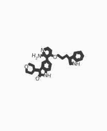 Nc1nccc(OCCCc2c[nH]c3ccccc23)c1-c1ccc2c(c1)C(=C1CCOCC1)C(=O)N2